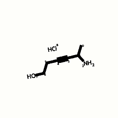 CC(N)C#CCCO.Cl